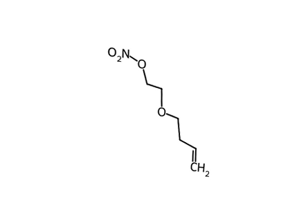 C=CCCOCCO[N+](=O)[O-]